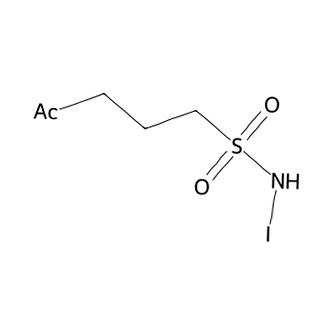 CC(=O)CCCS(=O)(=O)NI